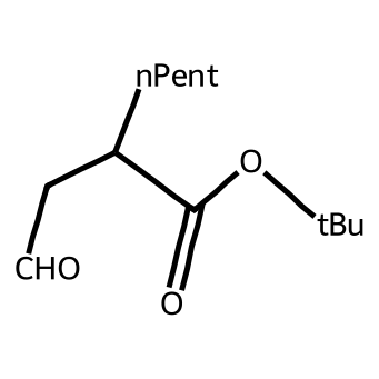 CCCCCC(CC=O)C(=O)OC(C)(C)C